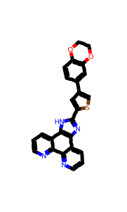 c1cnc2c(c1)c1nc(-c3cc(-c4ccc5c(c4)OCCO5)cs3)[nH]c1c1cccnc12